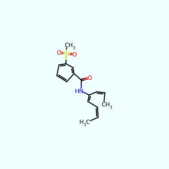 C\C=C/C=C(\C=C/C)NC(=O)c1cccc(S(C)(=O)=O)c1